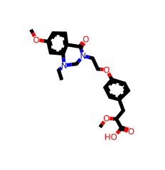 CCN1CN(CCOc2ccc(CC(OC)C(=O)O)cc2)C(=O)c2ccc(OC)cc21